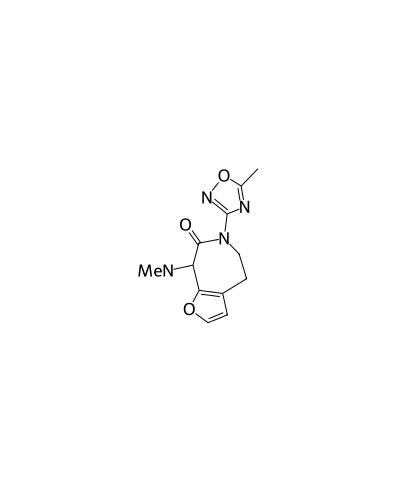 CNC1C(=O)N(c2noc(C)n2)CCc2ccoc21